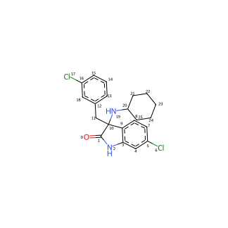 O=C1Nc2cc(Cl)ccc2C1(Cc1cccc(Cl)c1)NC1CCCCC1